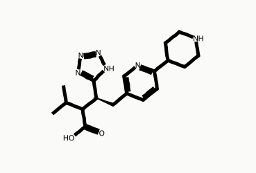 CC(C)C(C(=O)O)[C@H](Cc1ccc(C2CCNCC2)nc1)c1nnn[nH]1